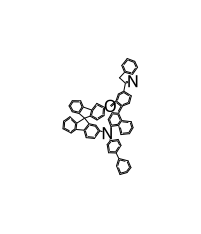 c1ccc(-c2ccc(N(c3ccc4c(c3)C3(c5ccccc5-c5ccccc53)c3ccccc3-4)c3cc4oc5cc(C6=Nc7ccccc7C6)ccc5c4c4ccccc34)cc2)cc1